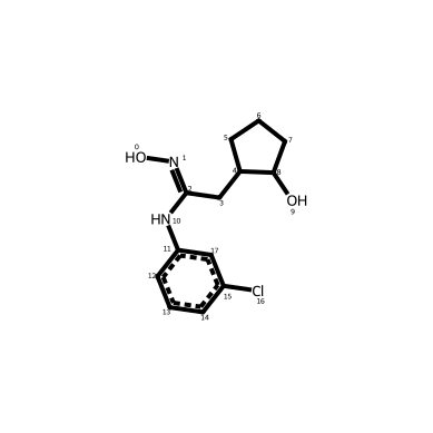 O/N=C(/CC1CCCC1O)Nc1cccc(Cl)c1